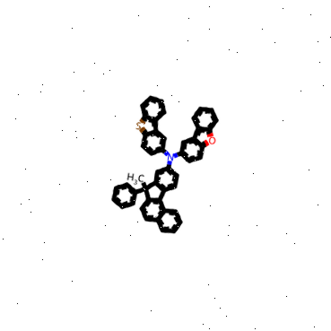 CC1(c2ccccc2)c2cc(N(c3ccc4oc5ccccc5c4c3)c3ccc4sc5ccccc5c4c3)ccc2-c2c1ccc1ccccc21